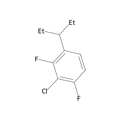 CCC(CC)c1ccc(F)c(Cl)c1F